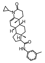 Cc1cccc(NC(=O)C2CC[C@H]3[C@@H]4CC=C5N(C6CC6)C(=O)CC[C@]5(C)[C@@H]4CC[C@]23C)c1